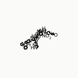 CC(C)c1ccccc1[C@@H]1CCCN1C1CC2(CCN(c3cc(Oc4cnc5[nH]ccc5c4)c(C(=O)NS(=O)(=O)c4cc([N+](=O)[O-])c(NCC5(F)CCN(C6CC(=O)C6)CC5)c5[nH]cnc45)cn3)CC2)C1